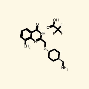 Cc1cccc2c(=O)[nH]c(CS[C@H]3CC[C@H](CN)CC3)nc12.O=C(O)C(F)(F)F